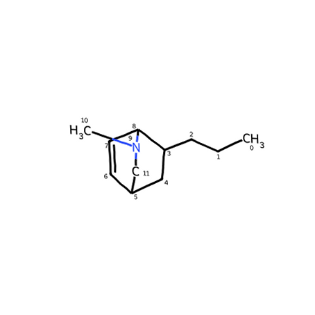 CCCC1CC2C=CC1N(C)C2